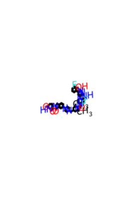 CC1CC(CN2CCN(c3ccc4c(c3)C(=O)N([C@@H]3CCC(=O)NC3=O)C4)CC2)CC(C)N1C(=O)N1CCN2c3cc(-c4cccc(F)c4O)nnc3NC[C@]2(C(F)F)C1